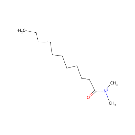 [CH2]CCCCCCCCCC(=O)[N+](C)C